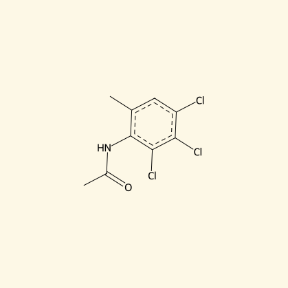 CC(=O)Nc1c(C)cc(Cl)c(Cl)c1Cl